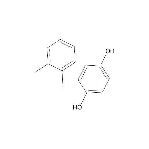 Cc1ccccc1C.Oc1ccc(O)cc1